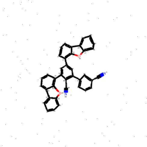 N#Cc1cccc(-c2cc(-c3cccc4c3oc3ccccc34)cc(-c3cccc4c3oc3ccccc34)c2C#N)c1